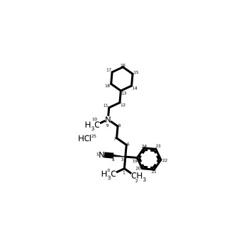 CC(C)[C@](C#N)(CCCN(C)CCC1CCCCC1)c1ccccc1.Cl